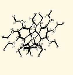 C=C(C)C(=O)OC1(C(CC)C2(OC(=O)C(=C)C)C(OCC)=C(OCC)C(OCC)=C(OCC)C2OCC)C(OCC)=C(OCC)C(OCC)=C(OCC)C1OCC